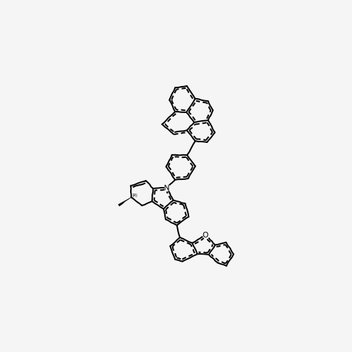 C[C@H]1C=Cc2c(c3cc(-c4cccc5c4oc4ccccc45)ccc3n2-c2ccc(-c3ccc4ccc5cccc6ccc3c4c56)cc2)C1